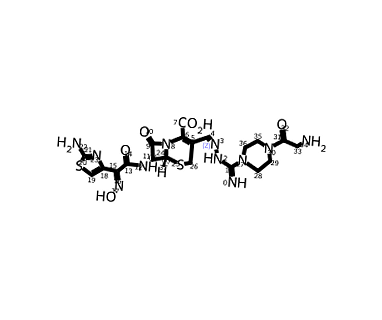 N=C(N/N=C\C1=C(C(=O)O)N2C(=O)[C@@H](NC(=O)C(=NO)c3csc(N)n3)[C@H]2SC1)N1CCN(C(=O)CN)CC1